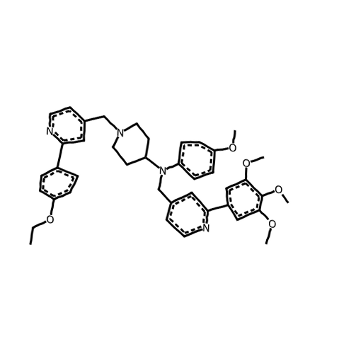 CCOc1ccc(-c2cc(CN3CCC(N(Cc4ccnc(-c5cc(OC)c(OC)c(OC)c5)c4)c4ccc(OC)cc4)CC3)ccn2)cc1